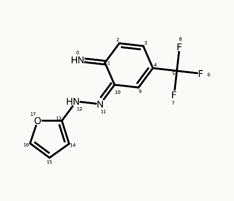 N=C1C=CC(C(F)(F)F)=C/C1=N/Nc1ccco1